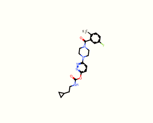 O=C(NCCC1CC1)Oc1ccc(N2CCN(C(=O)c3cc(F)ccc3C(F)(F)F)CC2)nn1